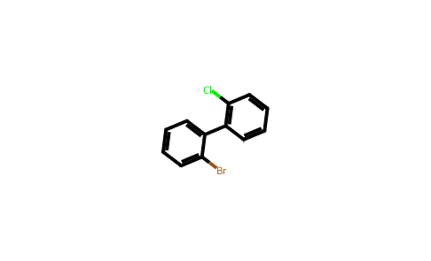 Clc1ccc[c]c1-c1ccccc1Br